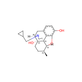 C[C@H]1CC[C@@]2(O)[C@H]3Cc4ccc(O)c5c4[C@@]2(CCN3CC2CC2)[C@H]1O5